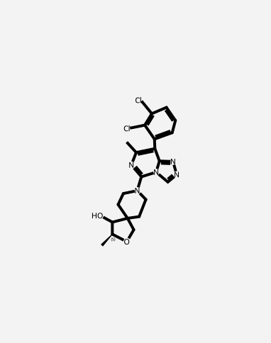 Cc1nc(N2CCC3(CC2)CO[C@@H](C)C3O)n2cnnc2c1-c1cccc(Cl)c1Cl